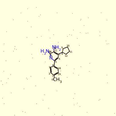 Cc1ccc(-c2cc(C3CCCC3)c(N)c(N)n2)cc1